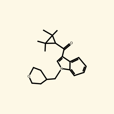 CC1(C)C(C(=O)c2cn(CC3CCOCC3)c3ccccc23)C1(C)C